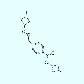 CC1CC(OOCc2ccc(C(=O)OC3CC(C)C3)cc2)C1